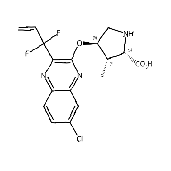 C=CC(F)(F)c1nc2ccc(Cl)cc2nc1O[C@H]1CN[C@H](C(=O)O)[C@@H]1C